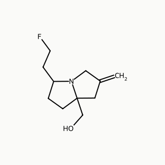 C=C1CN2C(CCF)CCC2(CO)C1